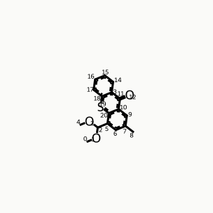 COC(OC)c1cc(C)cc2c(=O)c3ccccc3sc12